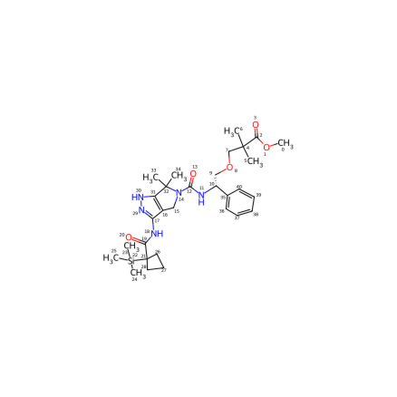 COC(=O)C(C)(C)COC[C@@H](NC(=O)N1Cc2c(NC(=O)C3([Si](C)(C)C)CCC3)n[nH]c2C1(C)C)c1ccccc1